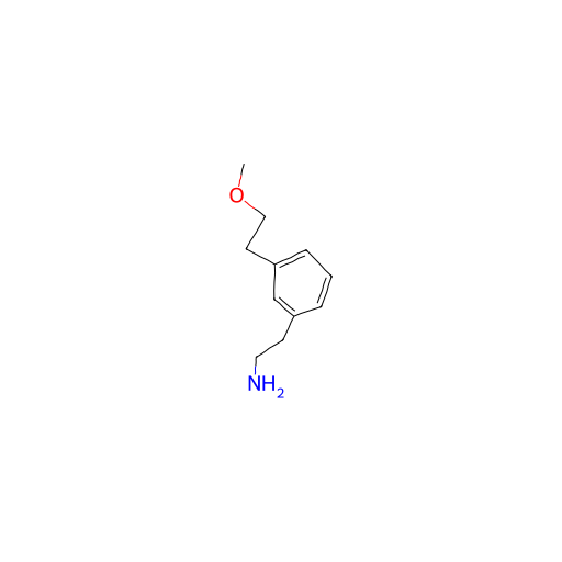 COCCc1cccc(CCN)c1